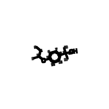 CCC(C)Oc1ccc(C(C)(C)O)cc1